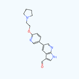 O=Cc1c[nH]c2ncc(-c3ccc(OCCN4CCCC4)nc3)cc12